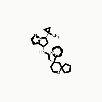 FC(F)(F)C1([C@@H]2C[C@H](NCC[C@@]3(c4ccccn4)CCOC4(CCCC4)C3)c3ccnn32)CC1